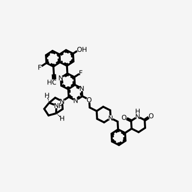 C#Cc1c(F)ccc2cc(O)cc(-c3ncc4c(N5C[C@H]6CC[C@@H](C5)N6)nc(OCC5CCN(Cc6ccccc6C6CCC(=O)NC6=O)CC5)nc4c3F)c12